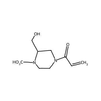 C=CC(=O)N1CCN(C(=O)O)C(CO)C1